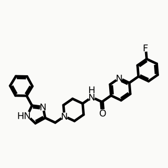 O=C(NC1CCN(Cc2c[nH]c(-c3ccccc3)n2)CC1)c1ccc(-c2cccc(F)c2)nc1